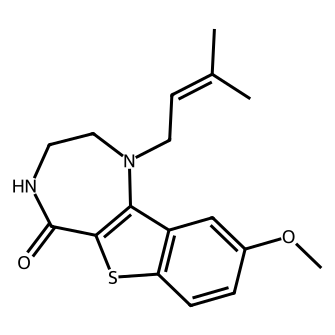 COc1ccc2sc3c(c2c1)N(CC=C(C)C)CCNC3=O